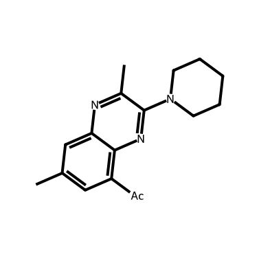 CC(=O)c1cc(C)cc2nc(C)c(N3CCCCC3)nc12